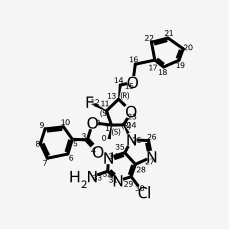 C[C@@]1(OC(=O)c2ccccc2)[C@@H](F)[C@@H](COCc2ccccc2)O[C@H]1n1cnc2c(Cl)nc(N)nc21